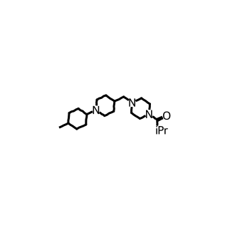 CC1CCC(N2CCC(CN3CCN(C(=O)C(C)C)CC3)CC2)CC1